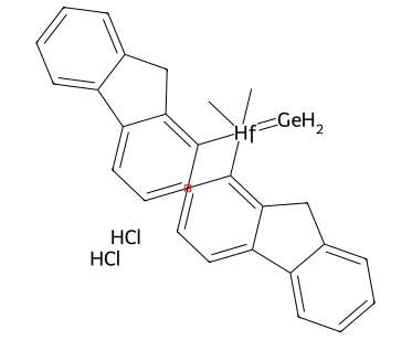 Cl.Cl.[CH3][Hf]([CH3])(=[GeH2])([c]1cccc2c1Cc1ccccc1-2)[c]1cccc2c1Cc1ccccc1-2